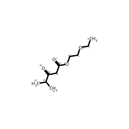 CCOCCOC(=O)CC(=O)C(C)C